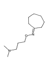 CN(C)CCCON=C1CCCCCC1